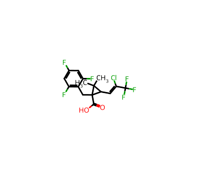 CC1(C)C(C=C(Cl)C(F)(F)F)C1(Cc1c(F)cc(F)cc1F)C(=O)O